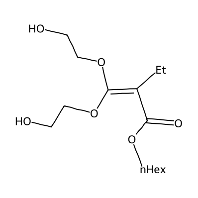 CCCCCCOC(=O)C(CC)=C(OCCO)OCCO